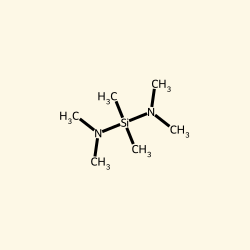 CN(C)[Si](C)(C)N(C)C